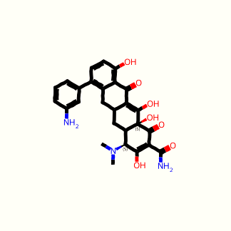 CN(C)[C@@H]1C(O)=C(C(N)=O)C(=O)[C@@]2(O)C(O)=C3C(=O)c4c(O)ccc(-c5cccc(N)c5)c4CC3CC12